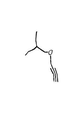 C#COC(C)C